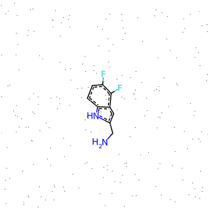 NCc1cc2c(F)c(F)ccc2[nH]1